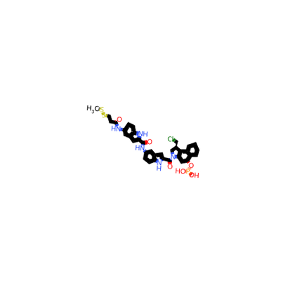 CSSCCC(=O)Nc1ccc2[nH]c(C(=O)Nc3ccc4[nH]c(C(=O)N5C[C@@H](CCl)c6c5cc(OP(O)O)c5ccccc65)cc4c3)cc2c1